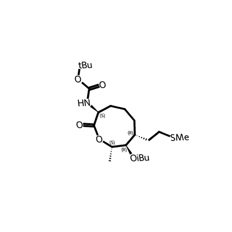 CSCC[C@H]1CCC[C@H](NC(=O)OC(C)(C)C)C(=O)O[C@@H](C)[C@@H]1OCC(C)C